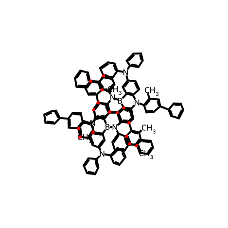 Cc1ccc(-c2cc3c4c(c2)N(c2ccc(-c5ccccc5)cc2C)c2ccc(N(c5ccccc5)c5cccc(-c6cccc(-c7cc8c9c(c7)N(c7ccc(-c%10ccccc%10)cc7C)c7ccc(N(c%10ccccc%10)c%10ccccc%10)cc7B9N(c7cccc(-c9ccccc9)c7)c7ccccc7-8)c6C)c5)cc2B4N(c2cccc(-c4ccccc4)c2)c2ccc(-c4ccccc4)cc2-3)c(C)c1